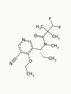 CCOc1c(C#N)cncc1[C@@H](CC)N(C)C(=O)C(C)(C)C(F)F